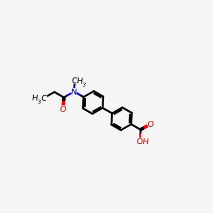 CCC(=O)N(C)c1ccc(-c2ccc(C(=O)O)cc2)cc1